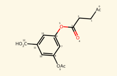 CC(=O)CCC(=O)Oc1cc(OC(C)=O)cc(C(=O)O)c1